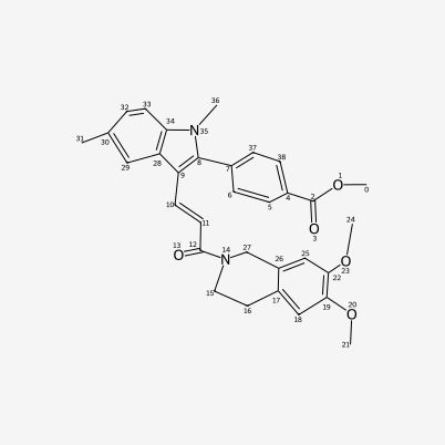 COC(=O)c1ccc(-c2c(C=CC(=O)N3CCc4cc(OC)c(OC)cc4C3)c3cc(C)ccc3n2C)cc1